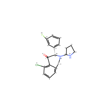 O=C1c2c(Cl)cccc2CN(C2CCCN2)[C@H]1c1cccc(F)c1